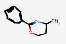 CC1CCOC(c2ccccc2)=N1